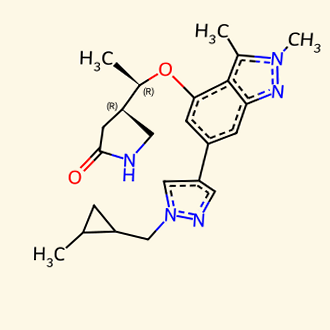 Cc1c2c(O[C@H](C)[C@H]3CNC(=O)C3)cc(-c3cnn(CC4CC4C)c3)cc2nn1C